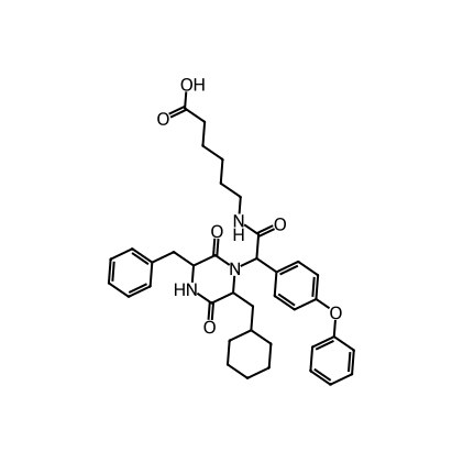 O=C(O)CCCCCNC(=O)C(c1ccc(Oc2ccccc2)cc1)N1C(=O)C(Cc2ccccc2)NC(=O)C1CC1CCCCC1